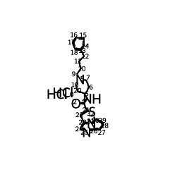 Cl.Cl.O=C(NC1CCN(CCCCc2ccccc2)CC1)C1=Cc2cnc3cccc(n23)S1